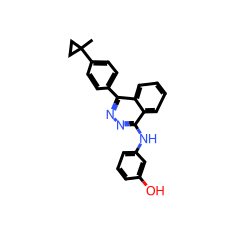 CC1(c2ccc(-c3nnc(Nc4cccc(O)c4)c4ccccc34)cc2)CC1